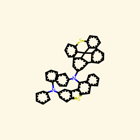 c1ccc(N(c2ccccc2)c2ccc3sc4cc5ccccc5c(N(c5ccccc5)c5ccc6c(c5)-c5ccccc5C65c6ccccc6Sc6ccccc65)c4c3c2)cc1